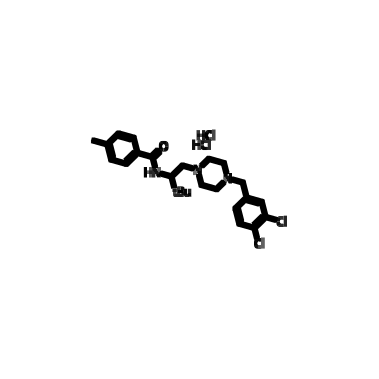 Cc1ccc(C(=O)NC(CN2CCN(Cc3ccc(Cl)c(Cl)c3)CC2)C(C)(C)C)cc1.Cl.Cl